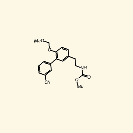 COCOc1ccc(CCNC(=O)OC(C)(C)C)cc1-c1cccc(C#N)c1